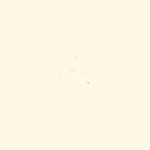 CCOC(=O)C1=C(CN2CCOC[C@H]2C(=O)O)NC(c2nccs2)=N[C@H]1c1ccc(F)c(F)c1C